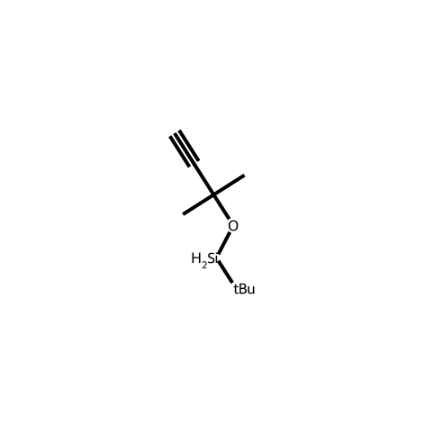 C#CC(C)(C)O[SiH2]C(C)(C)C